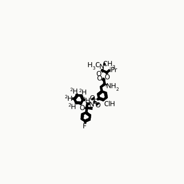 Cl.[2H]c1c([2H])c([2H])c(OC2(c3ccc(F)cc3)CN(S(=O)(=O)c3cccc(C[C@H](N)C(=O)OC(C(=O)N(C)C)C(C)C)c3)C2)c([2H])c1[2H]